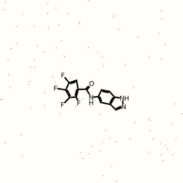 O=C(Nc1ccc2[nH]ncc2c1)c1cc(F)c(F)c(F)c1F